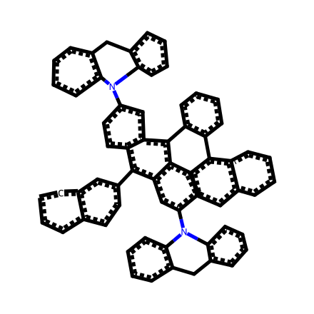 c1ccc2c(c1)Cc1ccccc1N2c1ccc2c(-c3ccccc3-c3cccc4ccccc34)c3cc(N4c5ccccc5Cc5ccccc54)ccc3c(-c3ccc4ccccc4c3)c2c1